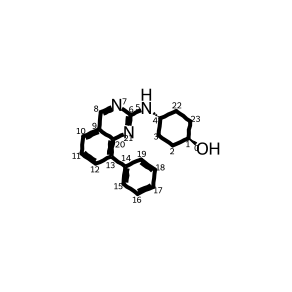 O[C@H]1CC[C@H](Nc2ncc3cccc(-c4ccccc4)c3n2)CC1